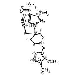 Cc1c(CN2CCC(CC#N)(n3cc(C(N)=O)c(N)n3)CC2)cnn1C